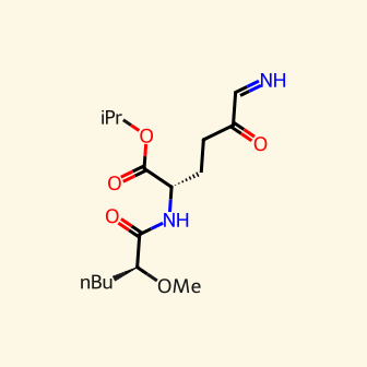 CCCC[C@H](OC)C(=O)N[C@@H](CCC(=O)C=N)C(=O)OC(C)C